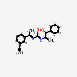 C#Cc1cccc(/C(C)=C/C(C)=N/C(=C)C(O)c2ccccc2)c1